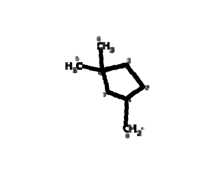 [CH2]C1CCC(C)(C)C1